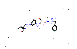 CN1C(=O)[C@H](NC(=O)c2n[nH]c(Cc3ccc(F)cc3)n2)COc2ccc(N3CC4(CCOCC4)C3)cc21